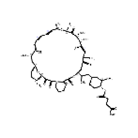 COC(=O)CCC(=O)O[C@@H]1CC[C@@H](CC(C)[C@@H]2CC(=O)C(C)/C=C(\C)[C@@H](O)[C@@H](OC)C(=O)[C@H](C)C[C@H](C)/C=C/C=C/C=C(\C)[C@@H](OC)C[C@@H]3CC[C@@H](C)[C@@](O)(O3)C(=O)C(=O)N3CCCC[C@H]3C(=O)O2)C[C@H]1OC